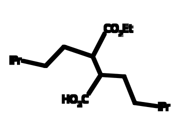 CCOC(=O)C(CCC(C)C)C(CCC(C)C)C(=O)O